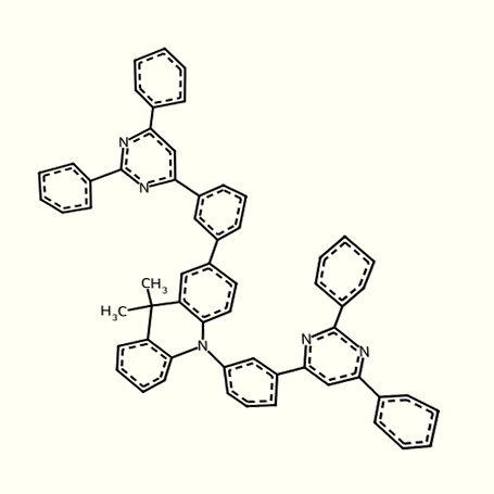 CC1(C)c2ccccc2N(c2cccc(-c3cc(-c4ccccc4)nc(-c4ccccc4)n3)c2)c2ccc(-c3cccc(-c4cc(-c5ccccc5)nc(-c5ccccc5)n4)c3)cc21